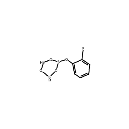 Fc1ccccc1OB1OBOBO1